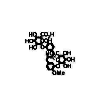 COc1ccc(C[C@@H](C)[C@@H](C)Cc2ccc(O)c(O[C@@H]3O[C@H](C(=O)O)[C@@H](O)[C@H](O)[C@H]3O)c2)cc1O[C@@H]1O[C@H](C(=O)O)[C@@H](O)[C@H](O)[C@H]1O